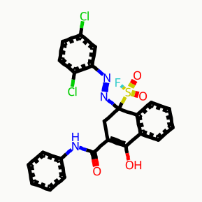 O=C(Nc1ccccc1)C1=C(O)c2ccccc2C(N=Nc2cc(Cl)ccc2Cl)(S(=O)(=O)F)C1